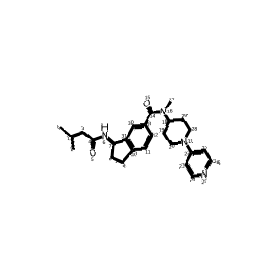 CC(C)CC(=O)NC1CCc2ccc(C(=O)N(C)C3CCN(c4ccncc4)CC3)cc21